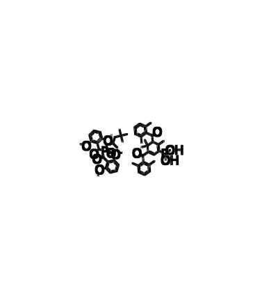 CC1=C(P(O)O)C=C(C(=O)c2c(C)cccc2C)C(C)(C)C1C(=O)c1c(C)cccc1C.COc1cccc(OC)c1C(=O)P(=O)(CC(C)CC(C)(C)C)C(=O)c1c(OC)cccc1OC